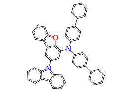 c1ccc(-c2ccc(N(c3ccc(-c4ccccc4)cc3)c3cc(-n4c5ccccc5c5ccccc54)cc4c3oc3ccccc34)cc2)cc1